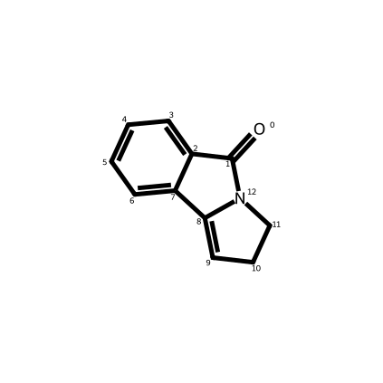 O=C1c2ccccc2C2=CCCN12